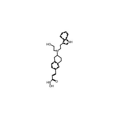 O=C(C=Cc1ccc2c(c1)CCC(N(CCO)CCc1c[nH]c3ccccc13)C2)NO